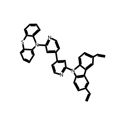 C=Cc1ccc2c(c1)c1cc(C=C)ccc1n2-c1cc(-c2ccnc(N3c4ccccc4Sc4ccccc43)c2)ccn1